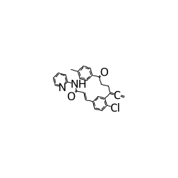 C=C=C(CCC(=O)c1ccc(C)cc1)c1cc(C=CC(=O)Nc2ccccn2)ccc1Cl